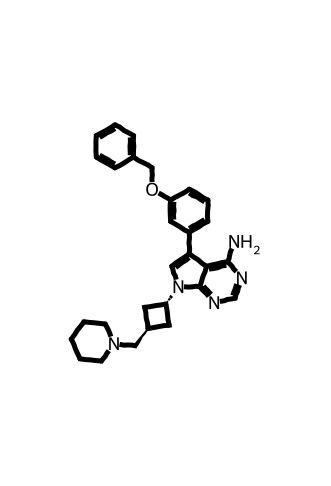 Nc1ncnc2c1c(-c1cccc(OCc3ccccc3)c1)cn2[C@H]1C[C@H](CN2CCCCC2)C1